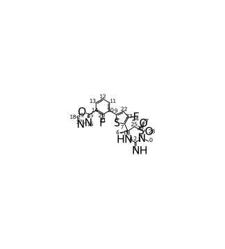 CN1C(=N)N[C@](C)(c2sc(-c3cccc(-c4nnco4)c3F)cc2F)CS1(=O)=O